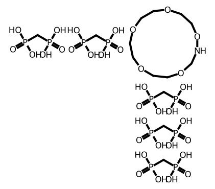 C1COCCOCNOCCOCCO1.O=P(O)(O)CP(=O)(O)O.O=P(O)(O)CP(=O)(O)O.O=P(O)(O)CP(=O)(O)O.O=P(O)(O)CP(=O)(O)O.O=P(O)(O)CP(=O)(O)O